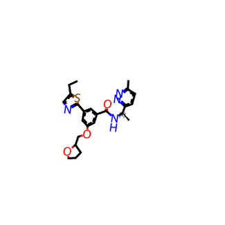 CCc1cnc(-c2cc(OCC3CCCO3)cc(C(=O)N[C@H](C)c3ccc(C)nn3)c2)s1